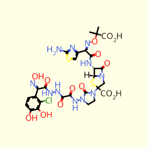 CC(C)(O/N=C(\C(=O)N[C@@H]1C(=O)N2CC(C(=O)O)(N3CCN(NC(=O)C(=O)NNC(=O)/C(=N\O)c4ccc(O)c(O)c4Cl)C3=O)S[C@H]12)c1csc(N)n1)C(=O)O